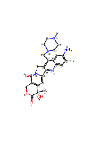 CC[C@@]1(O)C(=O)OCc2c1cc1n(c2=O)Cc2c-1nc1cc(F)c(N)cc1c2CN1CCN(C)CC1